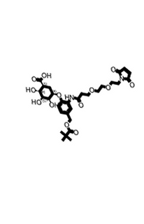 CC(C)(C)C(=O)OCc1ccc(O[C@@H]2C[C@H](C(=O)O)[C@@H](O)[C@H](O)[C@H]2O)c(NC(=O)CCOCCOCCN2C(=O)C=CC2=O)c1